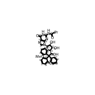 COc1ccccc1C(c1ccccc1)(c1ccccc1OC)C(O)[C@H]1O[C@@H](n2cnc3c(=O)[nH]c(NC(=O)C(C)C)nc32)[C@H](O)[C@@H]1O